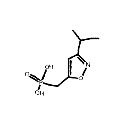 CC(C)c1cc(CP(=O)(O)O)on1